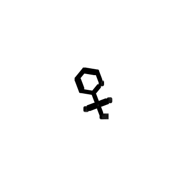 O=S(=O)(O)[C]1C=CC=CO1